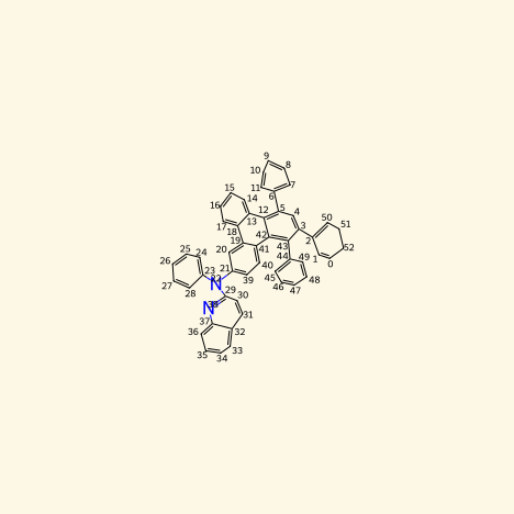 C1=CC(c2cc(-c3ccccc3)c3c4ccccc4c4cc(N(c5ccccc5)c5ccc6ccccc6n5)ccc4c3c2-c2ccccc2)=CCC1